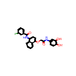 O=C(COc1ccc(NC(=O)c2cccc(F)c2)c2ccccc12)Nc1ccc(O)c(O)c1